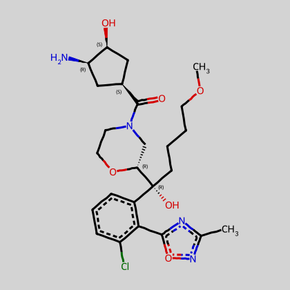 COCCCC[C@@](O)(c1cccc(Cl)c1-c1nc(C)no1)[C@H]1CN(C(=O)[C@H]2C[C@@H](N)[C@@H](O)C2)CCO1